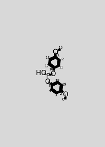 COc1ccc(OP(O)Oc2ccc(OC)cc2)cc1